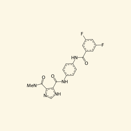 CNC(=O)c1nc[nH]c1C(=O)Nc1ccc(NC(=O)c2cc(F)cc(F)c2)cc1